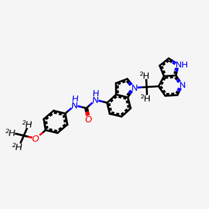 [2H]C([2H])([2H])Oc1ccc(NC(=O)Nc2cccc3c2ccn3C([2H])([2H])c2ccnc3[nH]ccc23)cc1